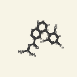 NC(N)=NC(=O)c1ccc2nccc(-c3c(F)cc(F)cc3Cl)c2c1